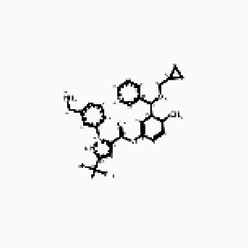 CC1C=CC(NC(=O)c2cc(C(F)(F)F)nn2-c2cccc(CN)c2)=CC1C(OCC1CC1)c1cccnc1